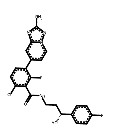 Nc1nc2cc(-c3ccc(Cl)c(C(=O)NCC[C@@H](O)c4ccc(F)cc4)c3F)ccn2n1